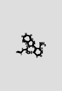 C=CCC(O)n1c(-c2cccnc2N)nc2cccnc21